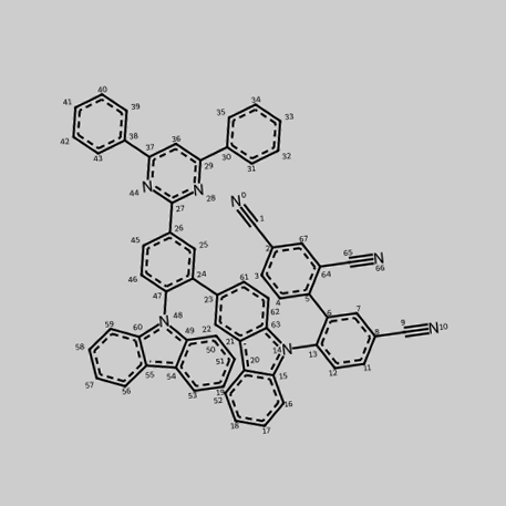 N#Cc1ccc(-c2cc(C#N)ccc2-n2c3ccccc3c3cc(-c4cc(-c5nc(-c6ccccc6)cc(-c6ccccc6)n5)ccc4-n4c5ccccc5c5ccccc54)ccc32)c(C#N)c1